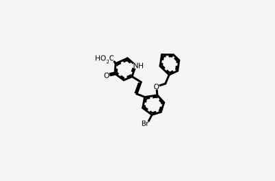 O=C(O)c1c[nH]c(C=Cc2cc(Br)ccc2OCc2ccccc2)cc1=O